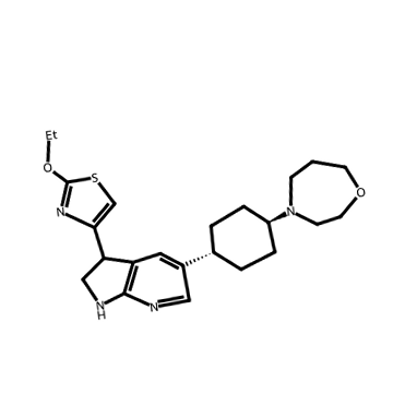 CCOc1nc(C2CNc3ncc([C@H]4CC[C@H](N5CCCOCC5)CC4)cc32)cs1